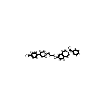 O=C(c1ccccc1)N1CCc2ccc(OCCCN3CCC(c4ccc(Cl)cc4)CC3)cc2CC1